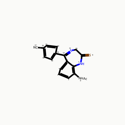 CC(=O)Nc1cccc2c1NC(=S)CN=C2c1ccc(C#N)cc1